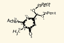 CCCCCOC(OCCCCC)c1cc(=O)n(C)c(NC(C)=O)n1